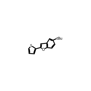 CC(C)(C)c1ccc2oc(-c3cccs3)cc2c1